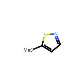 CSc1ccns1